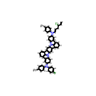 C=CC(F)C/C=C/N(c1ccc(C(C)C)cc1)c1ccc2c(c1)c1cccc3c4cc5c(cc4n2c13)c1cccc2c3cc(N(c4ccc(F)cc4)c4ccc(C(C)C)cc4)ccc3n5c21